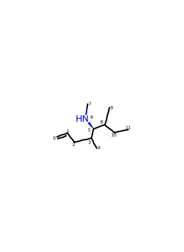 C=CCC(C)[C@@H](NC)C(C)CC